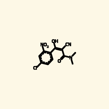 CN(C)C(=O)C(C#N)=C(O)c1ccc(Cl)cc1[N+](=O)[O-]